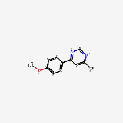 N#Cc1cc(-c2ccc(OC(F)(F)F)cc2)ncn1